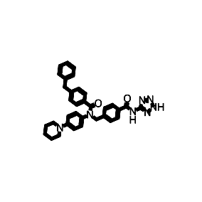 O=C(Nc1nn[nH]n1)c1ccc(CN(C(=O)c2ccc(Cc3ccccc3)cc2)c2ccc(N3CCCCC3)cc2)cc1